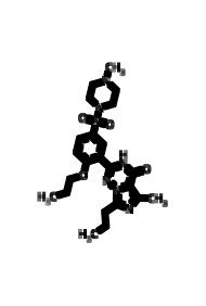 CCCOc1ccc(S(=O)(=O)N2CCN(C)CC2)cc1-c1nn2c(CCC)nc(C)c2c(=O)[nH]1